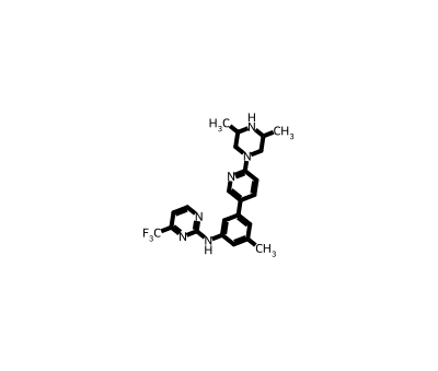 Cc1cc(Nc2nccc(C(F)(F)F)n2)cc(-c2ccc(N3CC(C)NC(C)C3)nc2)c1